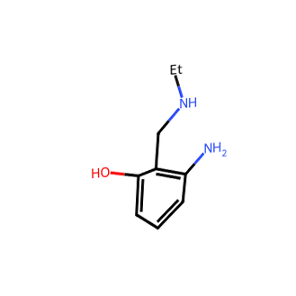 CCNCc1c(N)cccc1O